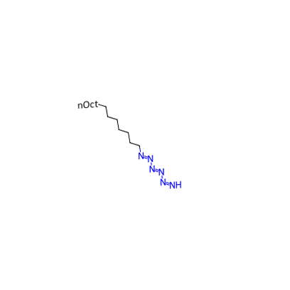 CCCCCCCCCCCCCCCN=NN=NN=N